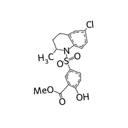 COC(=O)c1cc(S(=O)(=O)N2c3ccc(Cl)cc3CCC2C)ccc1O